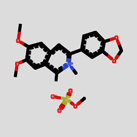 COS(=O)(=O)[O-].COc1cc2cc(-c3ccc4c(c3)OCO4)[n+](C)c(C)c2cc1OC